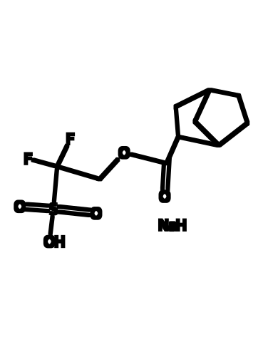 O=C(OCC(F)(F)S(=O)(=O)O)C1CC2CCC1C2.[NaH]